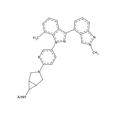 CC(=O)NC1C2CN(c3ccc(-n4nc(-c5cccc6nn(C)cc56)c5cccc(C)c54)cn3)CC21